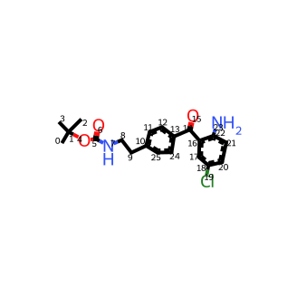 CC(C)(C)OC(=O)NCCc1ccc(C(=O)c2cc(Cl)ccc2N)cc1